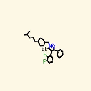 C=C(C)CCCC1CCC(Cn2nc(-c3ccccc3)c(-c3cccc(F)c3F)c2CC)CC1